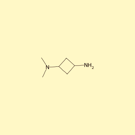 CN(C)C1CC(N)C1